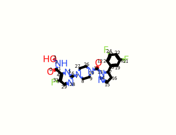 O=C(NO)c1nc(N2CCN(C(=O)N3N=CCC3c3cc(F)cc(F)c3)CC2)ncc1F